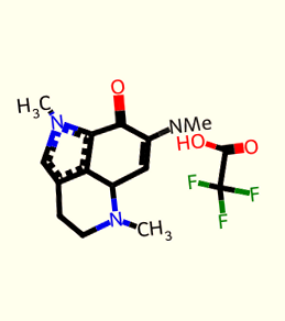 CNC1=CC2c3c(cn(C)c3C1=O)CCN2C.O=C(O)C(F)(F)F